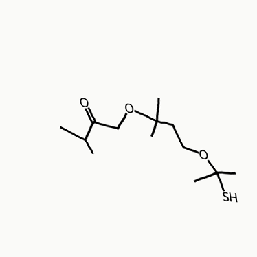 CC(C)C(=O)COC(C)(C)CCOC(C)(C)S